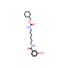 O=C(NCCCCCCNC(=O)c1cccc(O)c1)OCC1CCCCC1